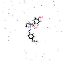 CC(=O)O.CNc1ccc(CCN[C@@H](C)[C@H](O)c2ccc(O)cc2)cc1